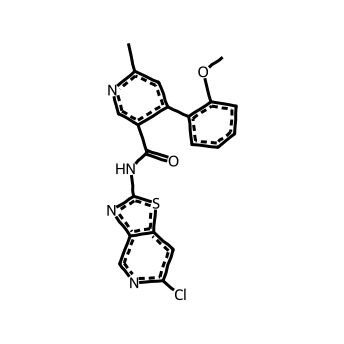 COc1ccccc1-c1cc(C)ncc1C(=O)Nc1nc2cnc(Cl)cc2s1